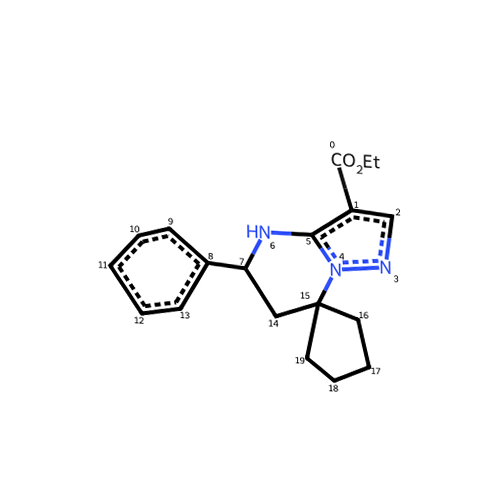 CCOC(=O)c1cnn2c1NC(c1ccccc1)CC21CCCC1